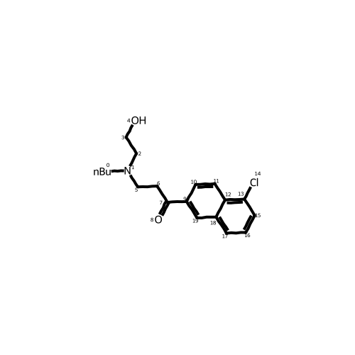 CCCCN(CCO)CCC(=O)c1ccc2c(Cl)cccc2c1